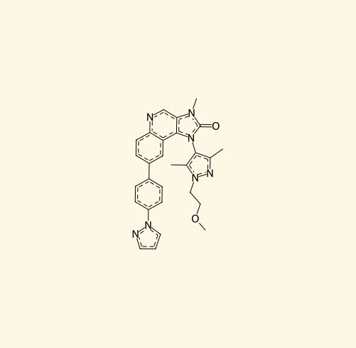 COCCn1nc(C)c(-n2c(=O)n(C)c3cnc4ccc(-c5ccc(-n6cccn6)cc5)cc4c32)c1C